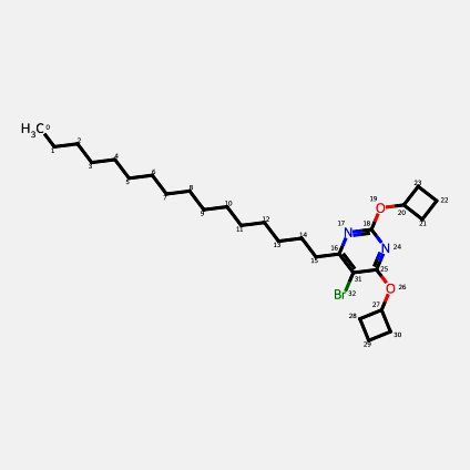 CCCCCCCCCCCCCCCCc1nc(OC2CCC2)nc(OC2CCC2)c1Br